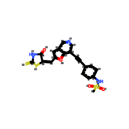 CS(=O)(=O)Nc1ccc(C#Cc2cncc3cc(/C=C4/SC(=S)NC4=O)oc23)cc1